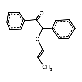 CC=COC(C(=O)c1ccccc1)c1ccccc1